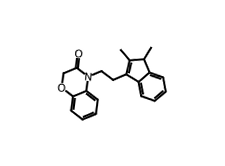 CC1=C(CCN2C(=O)COc3ccccc32)c2ccccc2C1C